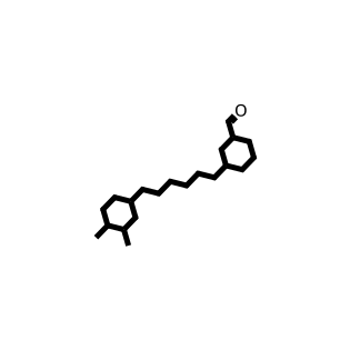 CC1CCC(CCCCCCC2CCCC(C=O)C2)CC1C